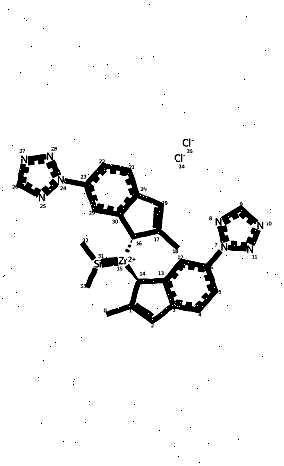 CC1=Cc2ccc(-n3ncnn3)cc2[C@@H]1[Zr+2]([C@H]1C(C)=Cc2ccc(-n3ncnn3)cc21)=[Si](C)C.[Cl-].[Cl-]